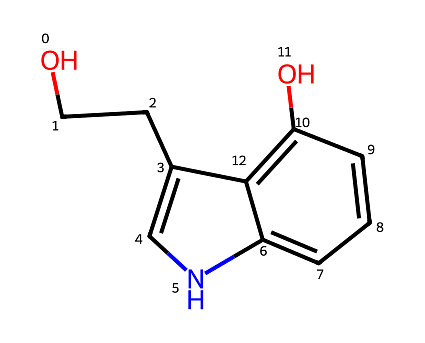 OCCc1c[nH]c2cccc(O)c12